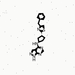 c1ccc(Cc2csc([C@@H]3CC[C@H](Nc4ncnc5[nH]ncc45)C3)n2)cc1